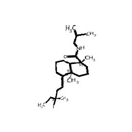 CC[C@@](C)(I)C/C=C1\CCCC2[C@](C)(C(=O)NCC(C)C)CCC[C@@]12C